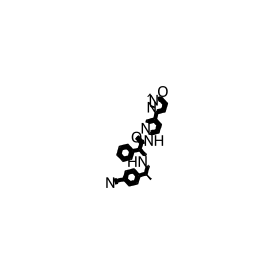 C[C@H](CNCC(C(=O)Nc1ccc(-c2ccc(=O)n(C)n2)cn1)c1ccccc1)c1ccc(C#N)cc1